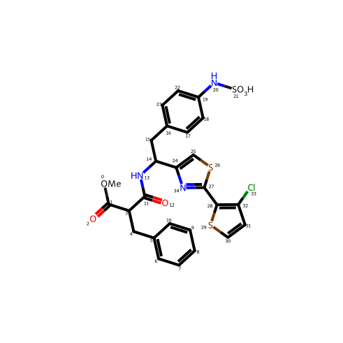 COC(=O)C(Cc1ccccc1)C(=O)NC(Cc1ccc(NS(=O)(=O)O)cc1)c1csc(-c2sccc2Cl)n1